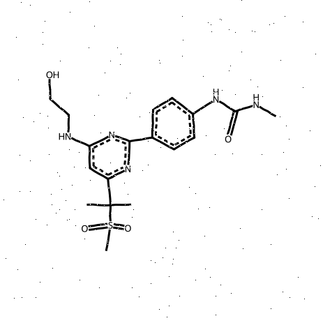 CNC(=O)Nc1ccc(-c2nc(NCCO)cc(C(C)(C)S(C)(=O)=O)n2)cc1